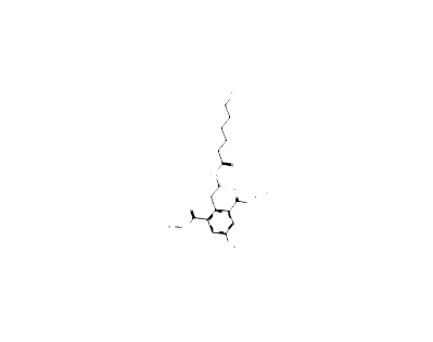 CC(C)(C)OC(=O)c1cc(O)cc(C(=O)OC(C)(C)C)c1C[C@H](NC(=O)CCCCCN)C(=O)O